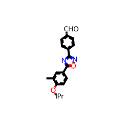 Cc1cc(-c2nc(-c3ccc(C=O)cc3)no2)ccc1OC(C)C